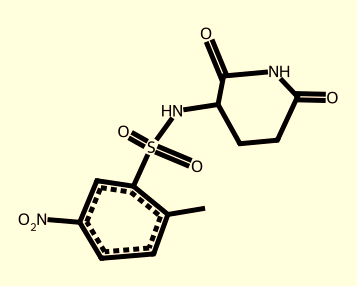 Cc1ccc([N+](=O)[O-])cc1S(=O)(=O)NC1CCC(=O)NC1=O